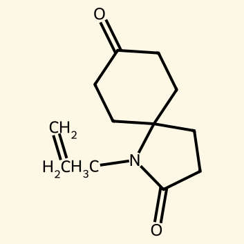 C=C.CN1C(=O)CCC12CCC(=O)CC2